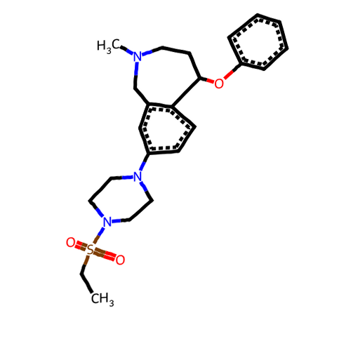 CCS(=O)(=O)N1CCN(c2ccc3c(c2)CN(C)CCC3Oc2ccccc2)CC1